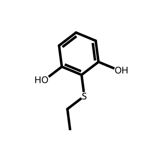 CCSc1c(O)cccc1O